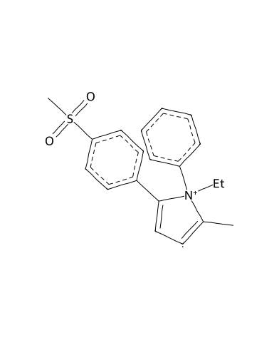 CC[N+]1(c2ccccc2)C(C)=[C]C=C1c1ccc(S(C)(=O)=O)cc1